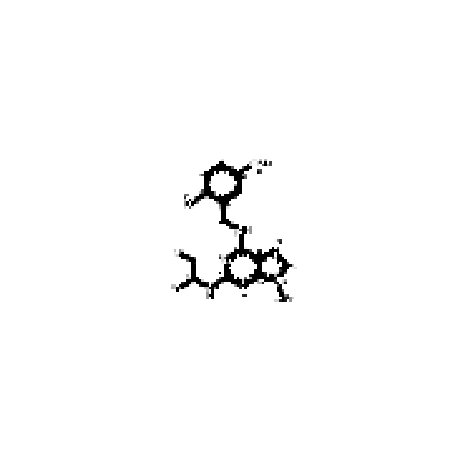 CCC(CO)Nc1nc(NCc2cc(OC)ccc2O)c2ncn(C(C)C)c2n1